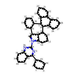 c1ccc(-c2nc(-n3cc4c5c(cccc53)-c3c(c5ccccc5c5ccccc35)-c3ccccc3-4)nc3ccccc23)cc1